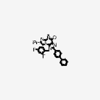 CC(C)[C@@H]1CN2C(=N1)N(C)C(=O)c1nc(-c3ccc(-c4ccccc4)cc3)n(Cc3ccc(F)cc3F)c12